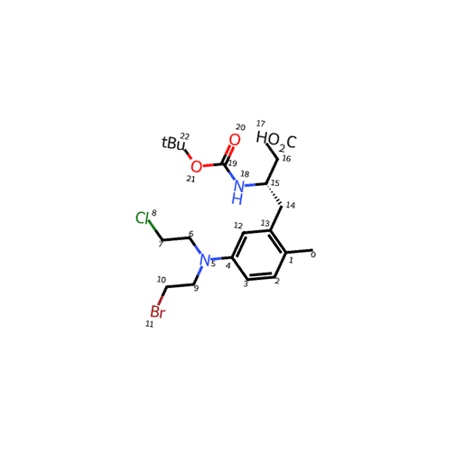 Cc1ccc(N(CCCl)CCBr)cc1C[C@@H](CC(=O)O)NC(=O)OC(C)(C)C